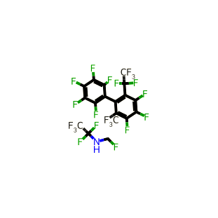 FCNC(F)(F)C(F)(F)F.Fc1c(F)c(F)c(-c2c(C(F)(F)F)c(F)c(F)c(F)c2C(F)(F)C(F)(F)F)c(F)c1F